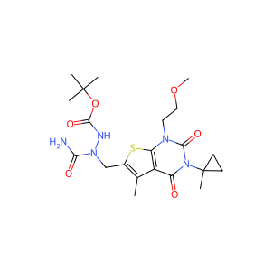 COCCn1c(=O)n(C2(C)CC2)c(=O)c2c(C)c(CN(NC(=O)OC(C)(C)C)C(N)=O)sc21